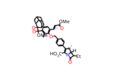 CCC1C(=O)N2C(C(=O)O)=C(c3ccc(COc4c(/C=C/C(=O)OC)ccc(C5(OC)OOC56C5CC7CC(C5)CC6C7)c4C)cc3)[C@H](C)[C@H]12